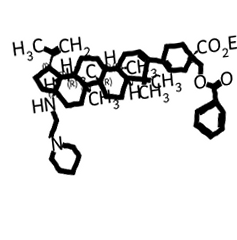 C=C(C)[C@@H]1CC[C@]2(NCCN3CCCCC3)CC[C@]3(C)[C@H](CC[C@@H]4[C@@]5(C)CC=C(C6=CC[C@@](COC(=O)c7ccccc7)(C(=O)OCC)CC6)C(C)(C)[C@@H]5CC[C@]43C)[C@@H]12